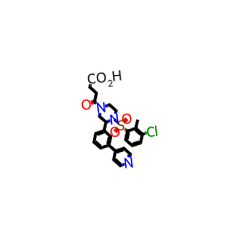 Cc1c(Cl)cccc1S(=O)(=O)N1CCN(C(=O)CCC(=O)O)CC1c1cccc(-c2ccncc2)c1